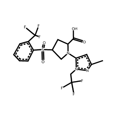 Cc1cc(N2CC(S(=O)(=O)c3ccccc3C(F)(F)F)CC2C(=O)O)n(CC(F)(F)F)n1